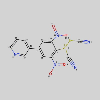 N#CS[SH](C#N)c1c([N+](=O)[O-])cc(-c2cccnc2)cc1[N+](=O)[O-]